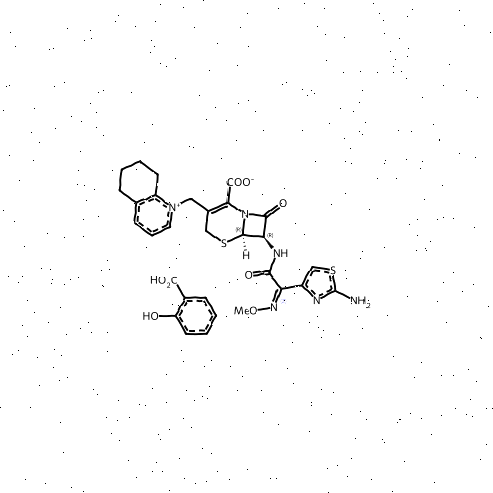 CO/N=C(\C(=O)N[C@@H]1C(=O)N2C(C(=O)[O-])=C(C[n+]3cccc4c3CCCC4)CS[C@H]12)c1csc(N)n1.O=C(O)c1ccccc1O